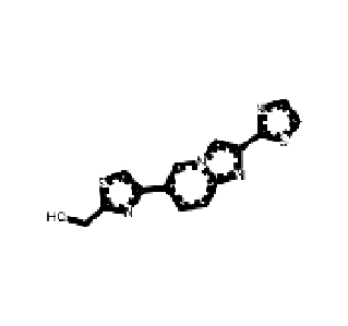 OCc1nc(-c2ccc3nc(-c4nccs4)cn3c2)cs1